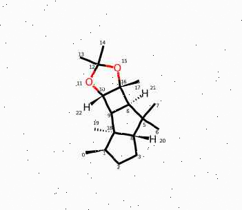 C[C@@H]1CC[C@H]2C(C)(C)[C@H]3C([C@@H]4OC(C)(C)O[C@]34C)[C@]12C